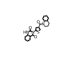 O=C(c1csc(-n2c(=O)[nH]c3ccccc3c2=O)c1)N1CCCc2ccccc21